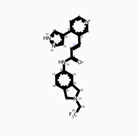 O=C(/C=C/c1cnccc1-c1cn[nH]c1)Nc1ccc2c(c1)CN(CC(F)(F)F)C2